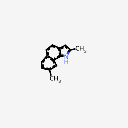 Cc1ccc2ccc3cc(C)[nH]c3c2c1